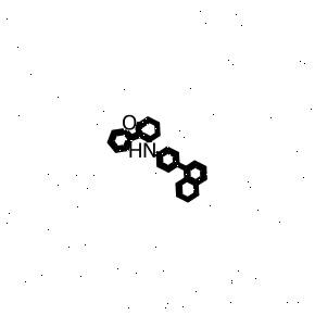 C1=Cc2c(cccc2-c2ccc(NC3=c4c(oc5ccccc45)=CCC3)cc2)CC1